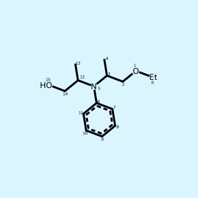 CCOCC(C)N(c1ccccc1)C(C)CO